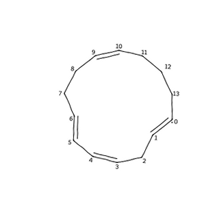 [C]1=C/C/C=C\C=C\CC/C=C\CCC/1